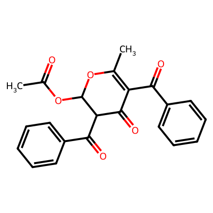 CC(=O)OC1OC(C)=C(C(=O)c2ccccc2)C(=O)C1C(=O)c1ccccc1